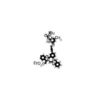 CCOC(=O)CC(c1ccccc1)N1CC(=O)N(Cc2ccccc2)c2ccc(C#CCOc3cc(C)nc(NC(=O)OC(C)(C)C)n3)cc2C1=O